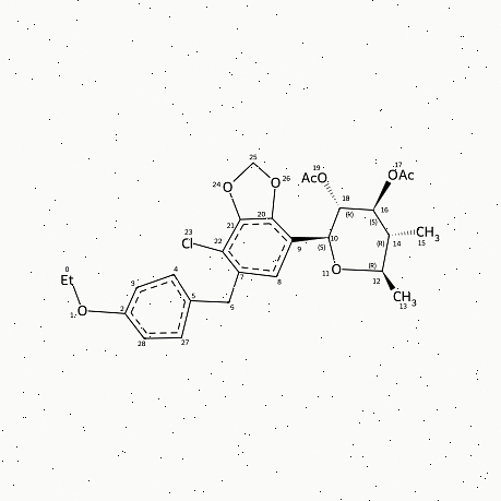 CCOc1ccc(Cc2cc([C@@H]3O[C@H](C)[C@@H](C)[C@H](OC(C)=O)[C@H]3OC(C)=O)c3c(c2Cl)OCO3)cc1